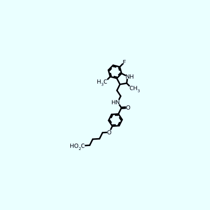 Cc1ccc(F)c2c1C(CCNC(=O)c1ccc(OCCCCC(=O)O)cc1)C(C)N2